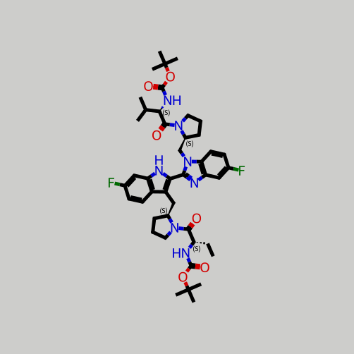 CC[C@H](NC(=O)OC(C)(C)C)C(=O)N1CCC[C@H]1Cc1c(-c2nc3cc(F)ccc3n2C[C@@H]2CCCN2C(=O)[C@@H](NC(=O)OC(C)(C)C)C(C)C)[nH]c2cc(F)ccc12